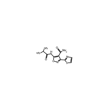 CCCC(CCC)C(=O)Nc1onc(-c2nccs2)c1C(N)=O